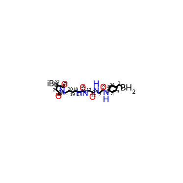 BCc1ccc(NC(=O)CNC(=O)CNC(=O)CCCCCN2C(=O)CC(C(C)CC)C2=O)cc1